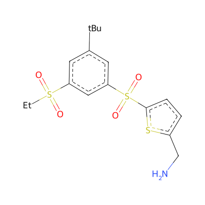 CCS(=O)(=O)c1cc(C(C)(C)C)cc(S(=O)(=O)c2ccc(CN)s2)c1